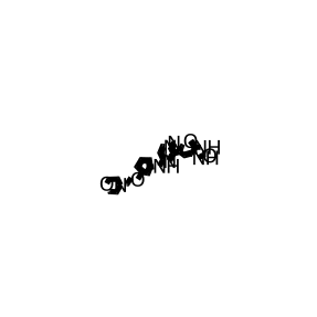 O=C1NC(=O)/C(=C\c2cnn3ccc(Nc4cccc(OCCN5CCOCC5)c4)nc23)N1